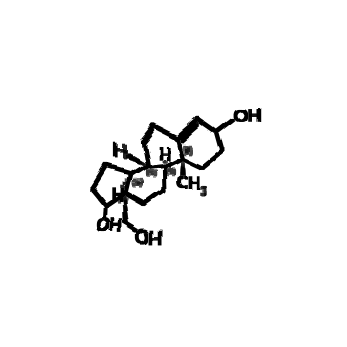 C[C@]12CCC(O)C=C1CC[C@H]1[C@@H]3CCC(O)[C@@]3(CO)CC[C@@H]12